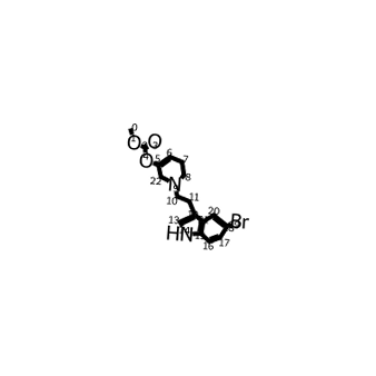 COC(=O)OC1=CCCN(CCc2c[nH]c3ccc(Br)cc23)C1